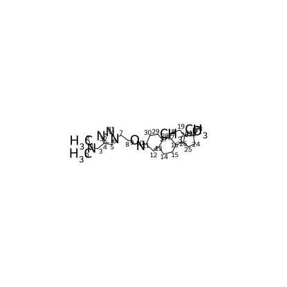 CN(C)Cc1cn(CCO/N=C2/C=C3CCC4C(CC[C@]5(C)C(=O)CCC45)[C@@]3(C)CC2)nn1